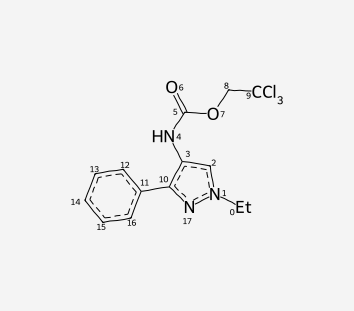 CCn1cc(NC(=O)OCC(Cl)(Cl)Cl)c(-c2ccccc2)n1